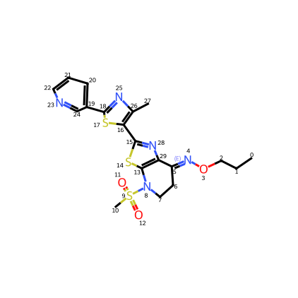 CCCO/N=C1\CCN(S(C)(=O)=O)c2sc(-c3sc(-c4cccnc4)nc3C)nc21